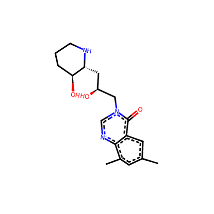 Cc1cc(C)c2ncn(C[C@@H](O)C[C@H]3NCCC[C@@H]3O)c(=O)c2c1